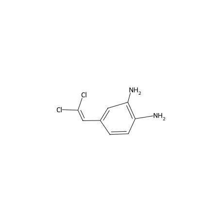 Nc1ccc(C=C(Cl)Cl)cc1N